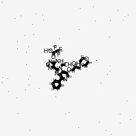 CCn1c(-c2nonc2N)nc2c(-c3ccccc3)ncc(OCC(O)CN3CCOCC3)c21.O=C(O)C(F)(F)F